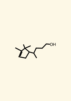 CC1=CCC(C(C)CCCO)C1(C)C